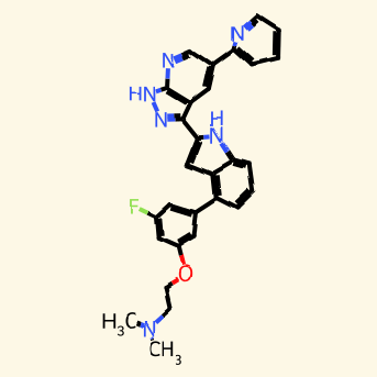 CN(C)CCOc1cc(F)cc(-c2cccc3[nH]c(-c4n[nH]c5ncc(-c6ccccn6)cc45)cc23)c1